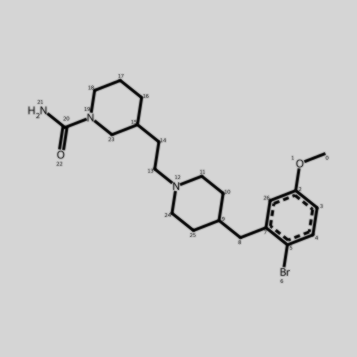 COc1ccc(Br)c(CC2CCN(CCC3CCCN(C(N)=O)C3)CC2)c1